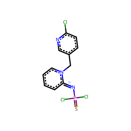 S=P(Cl)(Cl)/N=c1\ccccn1Cc1ccc(Cl)nc1